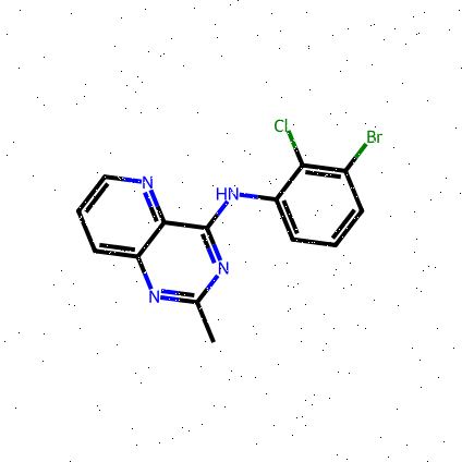 Cc1nc(Nc2cccc(Br)c2Cl)c2ncccc2n1